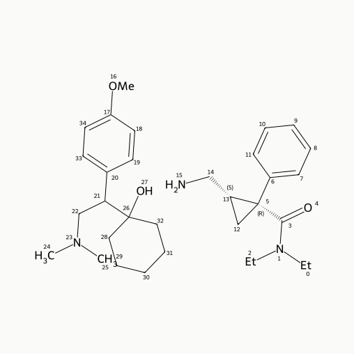 CCN(CC)C(=O)[C@]1(c2ccccc2)C[C@@H]1CN.COc1ccc(C(CN(C)C)C2(O)CCCCC2)cc1